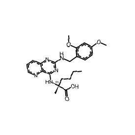 CCCC[C@@](C)(Nc1nc(NCc2ccc(OC)cc2OC)nc2cccnc12)C(=O)O